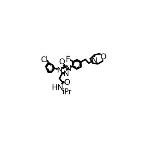 CC(C)NC(=O)Cc1nn(-c2ccc(CCN3C4CCC3COC4)cc2F)c(=O)n1-c1cccc(Cl)c1